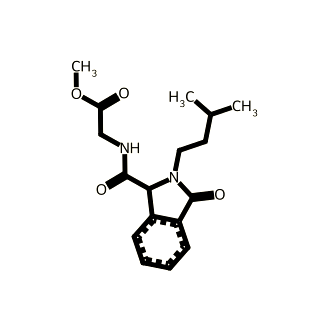 COC(=O)CNC(=O)C1c2ccccc2C(=O)N1CCC(C)C